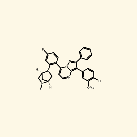 COc1cc(-c2c(-c3ccncc3)nn3c(-c4ccc(F)cc4N4C[C@@H]5C[C@H]4CN5C)ccnc23)ccc1Cl